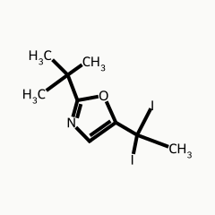 CC(C)(C)c1ncc(C(C)(I)I)o1